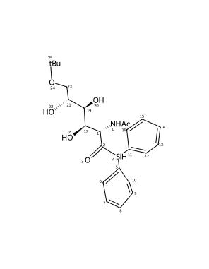 CC(=O)N[C@H](C(=O)[SiH](c1ccccc1)c1ccccc1)[C@@H](O)[C@H](O)[C@H](O)COC(C)(C)C